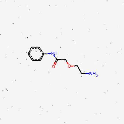 NCCOCC(=O)Nc1ccccc1